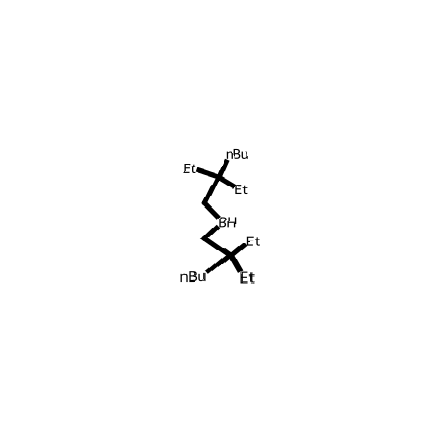 CCCCC(CC)(CC)CBCC(CC)(CC)CCCC